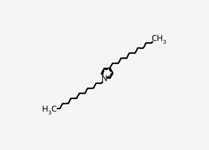 CCCCCCCCCCCC[n+]1ccc(CCCCCCCCCCC)cc1